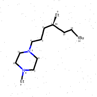 CC[C@H](CCCN1CCN(CC)CC1)CCC(C)(C)C